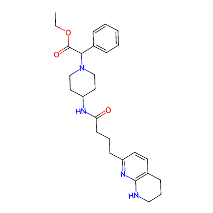 CCOC(=O)C(c1ccccc1)N1CCC(NC(=O)CCCc2ccc3c(n2)NCCC3)CC1